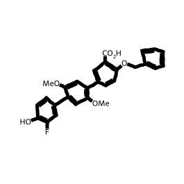 COc1cc(-c2ccc(OCc3ccccc3)c(C(=O)O)c2)c(OC)cc1-c1ccc(O)c(F)c1